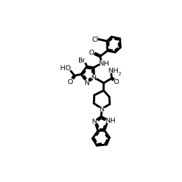 NC(=O)C(C1CCN(c2nc3ccccc3[nH]2)CC1)n1nc(C(=O)O)c(Br)c1NC(=O)c1ccccc1Cl